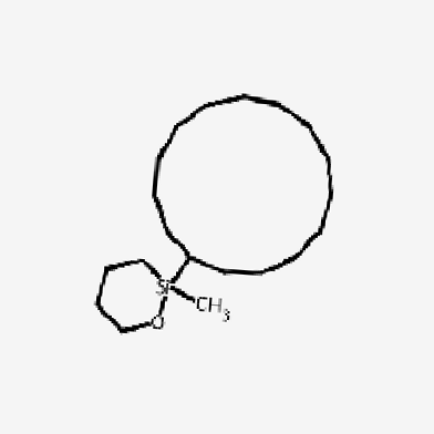 C[Si]1(C2CCCCCCCCCCCCCC2)CCCCO1